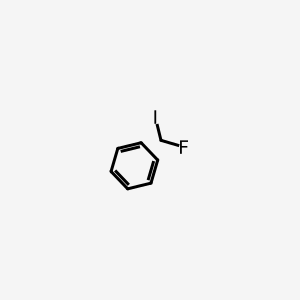 FCI.c1ccccc1